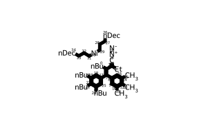 CCCCC(C(=C=[N+]=[N-])CC)=C(c1cc(C)c(C)c(C)c1)c1cc(CCCC)c(CCCC)c(CCCC)c1.CCCCCCCCCCCC[CH2][Ni][CH2]CCCCCCCCCCCC